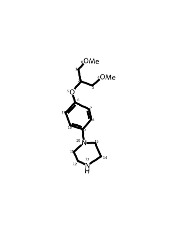 COCC(COC)Oc1ccc(N2CCNCC2)cc1